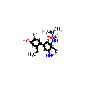 CCc1cc(O)c(F)cc1-c1cc2c(c(NS(=O)(=O)N(C)C)c1)CNN2